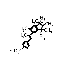 CCOC(=O)c1ccc(C=C(C)c2cc3c(cc2C)C(C)(C)C(C)C3(C)C)cc1